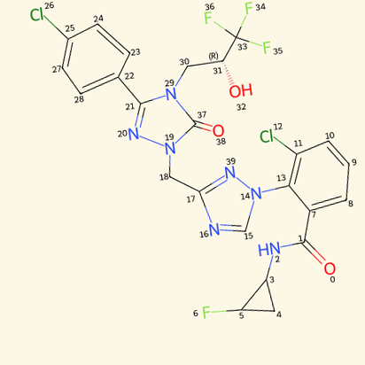 O=C(NC1CC1F)c1cccc(Cl)c1-n1cnc(Cn2nc(-c3ccc(Cl)cc3)n(C[C@@H](O)C(F)(F)F)c2=O)n1